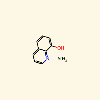 Oc1cccc2cccnc12.[SrH2]